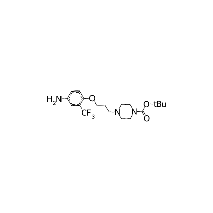 CC(C)(C)OC(=O)N1CCN(CCCOc2ccc(N)cc2C(F)(F)F)CC1